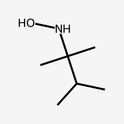 CC(C)C(C)(C)NO